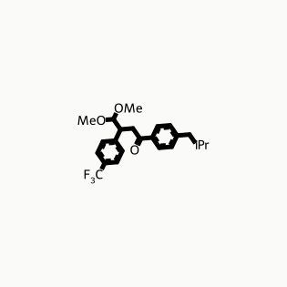 COC(OC)C(CC(=O)c1ccc(CC(C)C)cc1)c1ccc(C(F)(F)F)cc1